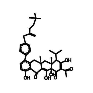 C=C(CCC(C)(C)C)Cc1ccc(-c2ccc(O)c3c2C[C@]2(C)C[C@]4(C)C(C(C)C)C(O)=C(C(C)=O)C(=O)[C@]4(O)C(O)=C2C3=O)cc1